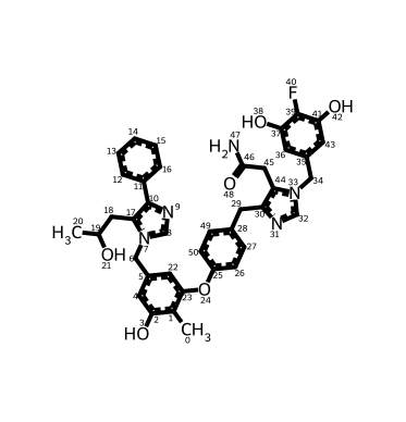 Cc1c(O)cc(Cn2cnc(-c3ccccc3)c2CC(C)O)cc1Oc1ccc(Cc2ncn(Cc3cc(O)c(F)c(O)c3)c2CC(N)=O)cc1